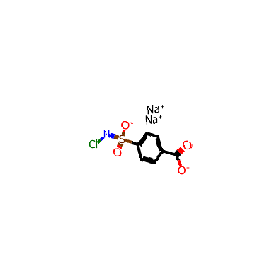 O=C([O-])c1ccc(S(=O)([O-])=NCl)cc1.[Na+].[Na+]